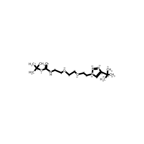 CC(C)(C)OC(=O)NCCOCCOCCn1cc(C(C)(C)C)nn1